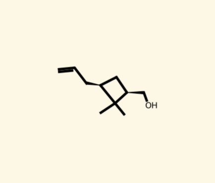 C=CC[C@H]1C[C@@H](CO)C1(C)C